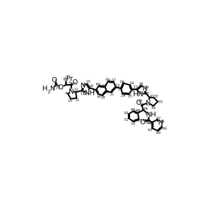 CC(C)C(OC(N)=O)C(=O)N1CCCC1c1ncc(-c2ccc3cc(-c4ccc(-c5cnc(C6CCCN6C(=O)C(NC(=O)c6cccnc6)c6ccccc6)[nH]5)cc4)ccc3c2)[nH]1